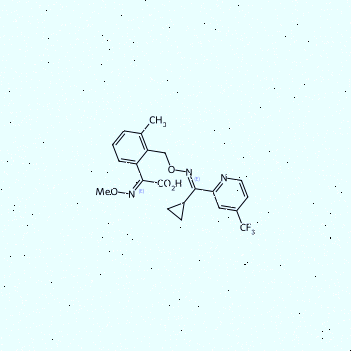 CO/N=C(/C(=O)O)c1cccc(C)c1CO/N=C(/c1cc(C(F)(F)F)ccn1)C1CC1